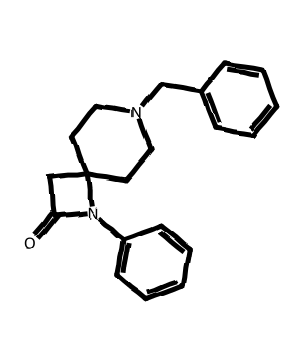 O=C1CC2(CCN(Cc3ccccc3)CC2)N1c1ccccc1